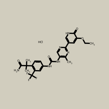 CCOc1cc(-c2ncc(NC(=O)Nc3ccc(C(C)(C)C(N)=O)c(C(F)(F)F)c3)c(C)n2)c[nH]c1=O.Cl